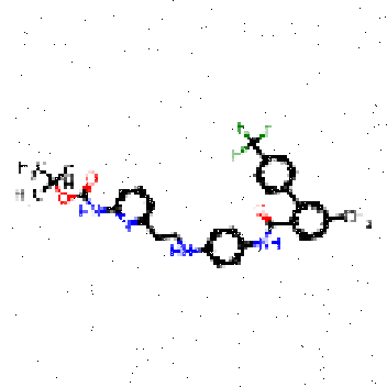 Cc1ccc(C(=O)Nc2ccc(NCCc3cccc(NC(=O)OC(C)(C)C)n3)cc2)c(-c2ccc(C(F)(F)F)cc2)c1